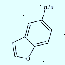 CCCCc1ccc2occc2c1